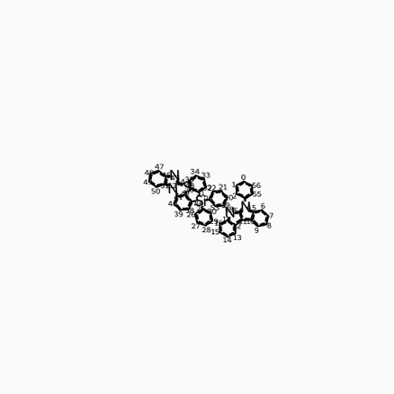 c1ccc(-n2c3ccccc3c3c4ccccc4n(-c4cccc([Si](c5ccccc5)(c5ccccc5)c5cccc6c5sc5nc7ccccc7n56)c4)c32)cc1